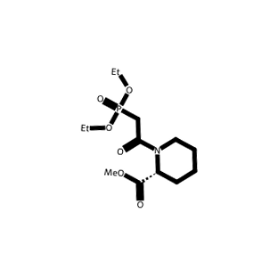 CCOP(=O)(CC(=O)N1CCCC[C@@H]1C(=O)OC)OCC